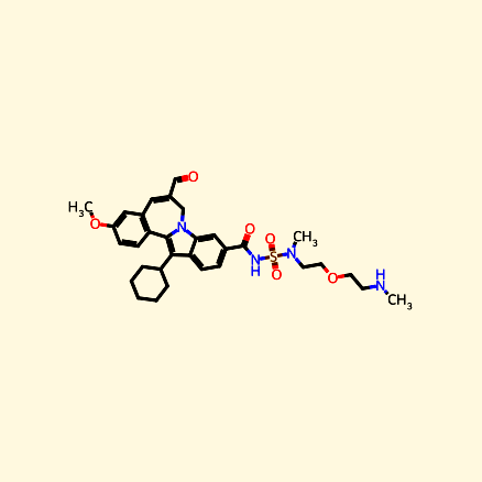 CNCCOCCN(C)S(=O)(=O)NC(=O)c1ccc2c(C3CCCCC3)c3n(c2c1)CC(C=O)=Cc1cc(OC)ccc1-3